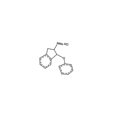 CNC1Cc2ccccc2C1Oc1ccccc1.Cl